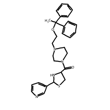 CC(OCCN1CCN(C(=O)C2CSC(c3cccnc3)N2)CC1)(c1ccccc1)c1ccccc1